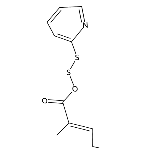 CCC=C(C)C(=O)OSSc1ccccn1